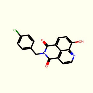 O=C1c2ccnc3c(O)ccc(c23)C(=O)N1Cc1ccc(Cl)cc1